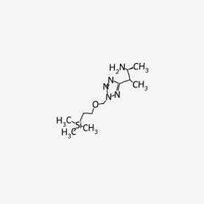 CC(c1nnn(COCC[Si](C)(C)C)n1)[C@H](C)N